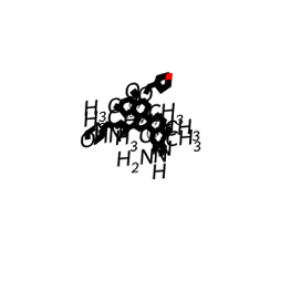 CC1(C)CC[C@]2(C(=O)OCc3ccccc3)CC[C@]3(C)C(=C(c4c[nH]c(CN5CCOCC5)c4)CC4[C@@]5(C)Cc6c(n[nH]c6N)C(C)(C)[C@@H]5CC[C@]43C)[C@@H]2C1